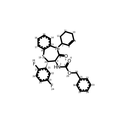 O=C(N[C@@H]1C(=O)N(C2C=CCCC2)c2ccccc2S[C@H]1c1cc(F)ccc1F)OCc1ccccc1